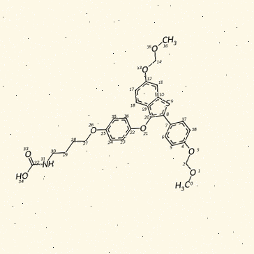 COCOc1ccc(-c2sc3cc(OCOC)ccc3c2Oc2ccc(OCCCCNC(=O)O)cc2)cc1